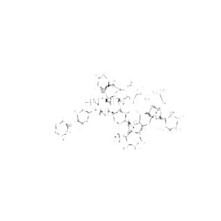 N#Cc1cc(C2NC(c3ccccc3)NC(c3ccc(-c4ccccc4)cc3)N2)c(N2c3ccccc3C3CCC=CC32)cc1-n1c2ccccc2c2cc3c(cc21)c1c(n3-c2ccccc2)C=CCC1